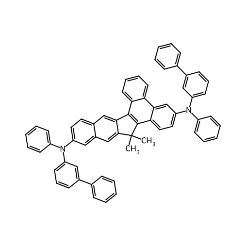 CC1(C)c2cc3cc(N(c4ccccc4)c4cccc(-c5ccccc5)c4)ccc3cc2-c2c1c1ccc(N(c3ccccc3)c3cccc(-c4ccccc4)c3)cc1c1ccccc21